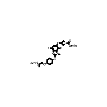 CC(=O)N[C@@H](C)CO[C@H]1CC[C@H](OC2=NC3=C(F)C=C(OC4CN(C(=O)OC(C)(C)C)C4)C(F)C3N2C)CC1